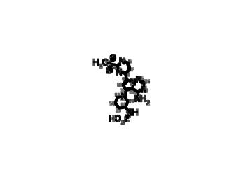 CS(=O)(=O)c1nccc(-c2cc(N3CCCC(NC(=O)O)C3)c3c(N)ncnn23)n1